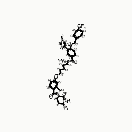 Cn1cnc(-c2cc(C(=O)NCCCCCOc3ccc4c(c3)CN([C@@H]3CCC(=O)NC3=O)C4=O)ccc2NCc2ccc(C(F)(F)F)cc2)c1